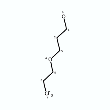 [O]CCCOCCC(F)(F)F